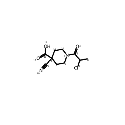 CC(Cl)C(=O)N1CCC(C#N)(C(=O)O)CC1